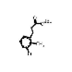 Cc1c(Cl)cccc1CCC(=O)OC(C)(C)C